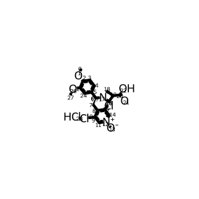 COc1ccc([C@H](Cc2c(Cl)c[n+]([O-])cc2Cl)N2CC(C(=O)O)C2)cc1OC.Cl